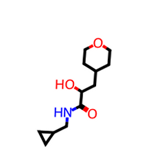 O=C(NCC1CC1)C(O)CC1CCOCC1